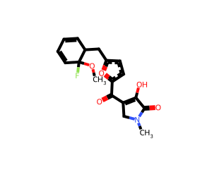 COC1(F)C=CC=CC1Cc1ccc(C(=O)C2=C(O)C(=O)N(C)C2)o1